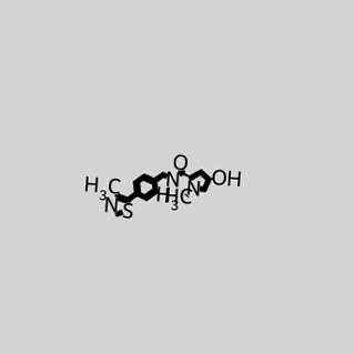 Cc1ncsc1-c1ccc(CNC(=O)[C@H]2C[C@H](O)CN2C)cc1